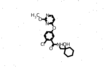 COc1nccc(Oc2ccc(Cl)c(C(=O)NCC3(O)CCCCC3)c2)n1